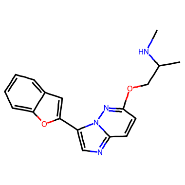 CNC(C)COc1ccc2ncc(-c3cc4ccccc4o3)n2n1